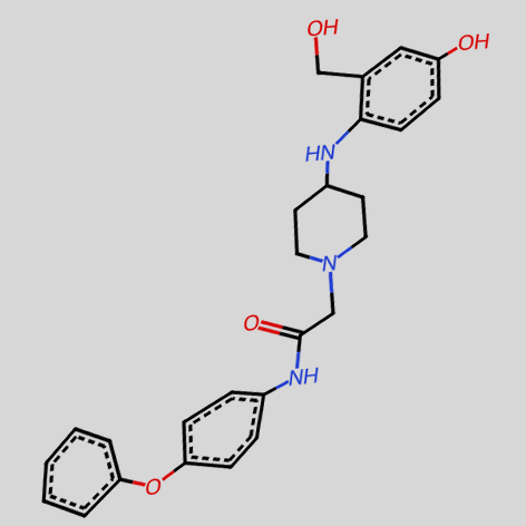 O=C(CN1CCC(Nc2ccc(O)cc2CO)CC1)Nc1ccc(Oc2ccccc2)cc1